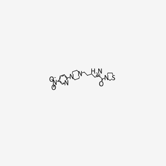 N[C@@H](CCCCN1CCN(c2ccc([N+](=O)[O-])cn2)CC1)C(=O)N1CCSC1